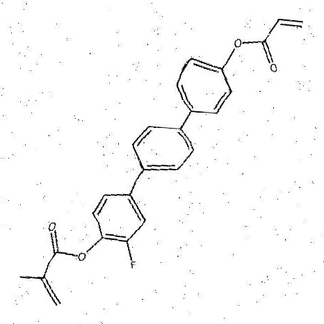 C=CC(=O)Oc1ccc(-c2ccc(-c3ccc(OC(=O)C(=C)C)c(F)c3)cc2)cc1